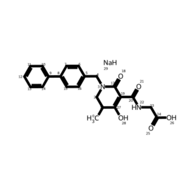 CC1CN(Cc2ccc(-c3ccccc3)cc2)C(=O)C(C(=O)NCC(=O)O)=C1O.[NaH]